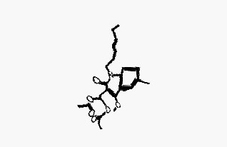 CCCCCCn1c(=O)c(C(OC(C)=O)OC(C)=O)c(OC)c2cc(C)ccc21